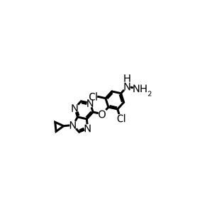 NNc1cc(Cl)c(Oc2ncnc3c2ncn3C2CC2)c(Cl)c1